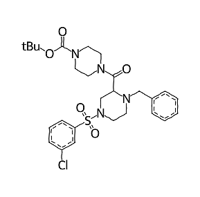 CC(C)(C)OC(=O)N1CCN(C(=O)C2CN(S(=O)(=O)c3cccc(Cl)c3)CCN2Cc2ccccc2)CC1